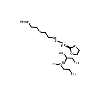 CCCCC(CC)CO.CCO.CCOCCO.CCOCCOCCO.O=C1OCCO1